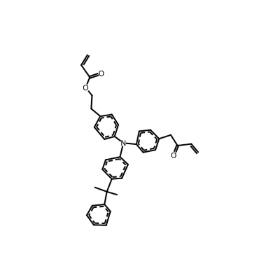 C=CC(=O)Cc1ccc(N(c2ccc(CCOC(=O)C=C)cc2)c2ccc(C(C)(C)c3ccccc3)cc2)cc1